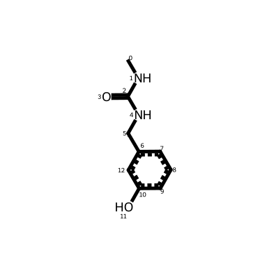 CNC(=O)N[CH]c1cccc(O)c1